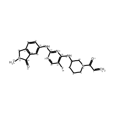 C=CC(=O)N1CCCC(Nc2nc(Nc3ccc4c(c3)C(=O)N(C)C4)ncc2F)C1